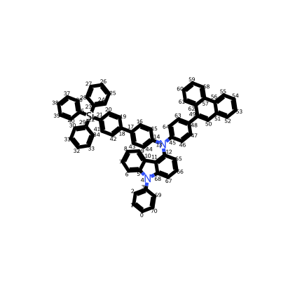 c1ccc(-n2c3ccccc3c3c(N(c4ccc(-c5ccc([Si](c6ccccc6)(c6ccccc6)c6ccccc6)cc5)cc4)c4ccc(-c5cc6ccccc6c6ccccc56)cc4)cccc32)cc1